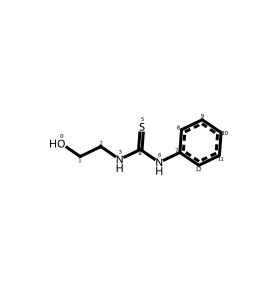 OCCNC(=S)Nc1ccccc1